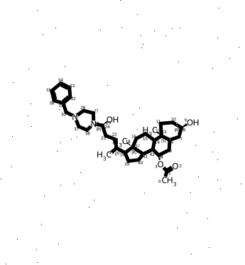 CC(=O)O[C@H]1CC2C[C@H](O)CC[C@]2(C)C2CC[C@]3(C)C(C(C)CC[C@@H](O)N4CCN(Cc5ccccc5)CC4)CCC3C21